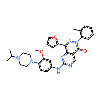 COc1cc(Nc2ncc3c(=O)n(-c4ccccc4C)nc(-c4ccco4)c3n2)ccc1N1CCN(C(C)C)CC1